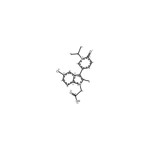 Cc1c(-c2ccc(=O)n(C(C)C)c2)c2cc(Cl)ccc2n1CC(=O)O